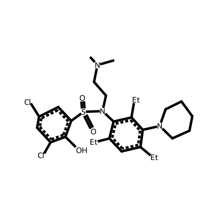 CCc1cc(CC)c(N(CCN(C)C)S(=O)(=O)c2cc(Cl)cc(Cl)c2O)c(CC)c1N1CCCCC1